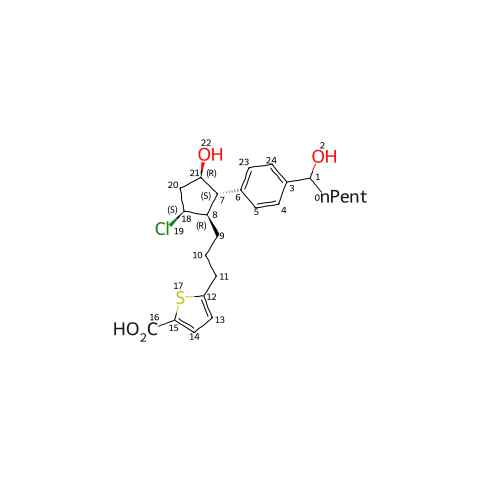 CCCCCC(O)c1ccc([C@@H]2[C@@H](CCCc3ccc(C(=O)O)s3)[C@@H](Cl)C[C@H]2O)cc1